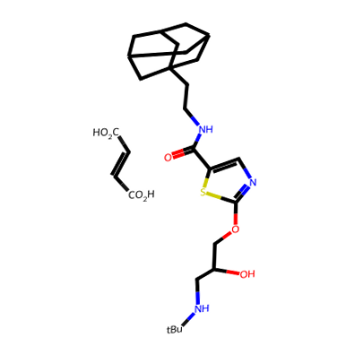 CC(C)(C)NCC(O)COc1ncc(C(=O)NCCC23CC4CC(CC(C4)C2)C3)s1.O=C(O)C=CC(=O)O